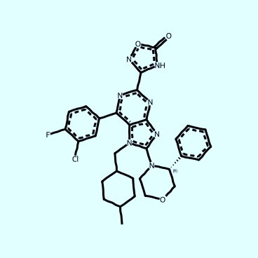 CC1CCC(Cn2c(N3CCOC[C@H]3c3ccccc3)nc3nc(-c4noc(=O)[nH]4)nc(-c4ccc(F)c(Cl)c4)c32)CC1